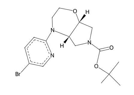 CC(C)(C)OC(=O)N1C[C@H]2OCCN(c3ccc(Br)cn3)[C@H]2C1